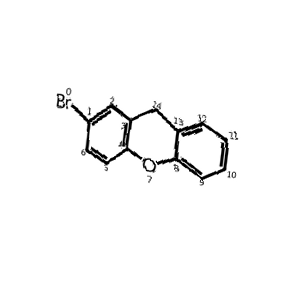 Brc1[c]c2c(cc1)Oc1ccccc1C2